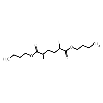 CCCCOC(=O)C(I)CCC(I)C(=O)OCCCC